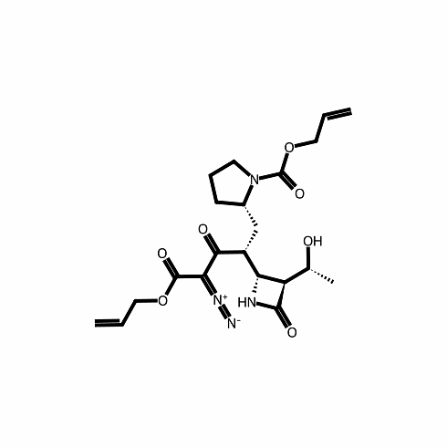 C=CCOC(=O)C(=[N+]=[N-])C(=O)[C@H](C[C@@H]1CCCN1C(=O)OCC=C)[C@H]1NC(=O)[C@@H]1[C@@H](C)O